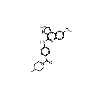 COc1ccc2nc(Nc3ccc(C(=O)N4CCN(C)CC4)cc3)c3n[nH]cc3c2c1